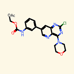 CC(=O)OCOC(=O)Nc1cccc(-c2cnc3c(N4CCOCC4)nc(Cl)nc3c2)c1